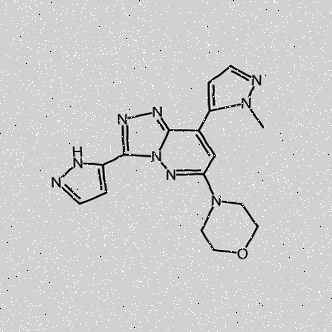 Cn1nccc1-c1cc(N2CCOCC2)nn2c(-c3ccn[nH]3)nnc12